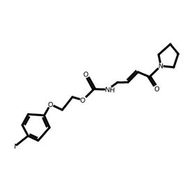 O=C(NCC=CC(=O)N1CCCC1)OCCOc1ccc(I)cc1